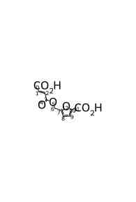 O=C(O)C=CC(=O)OCc1ccc(C(=O)O)o1